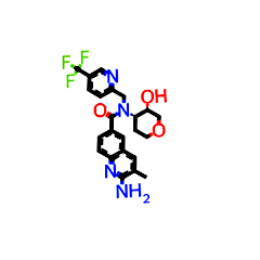 Cc1cc2cc(C(=O)N(Cc3ccc(C(F)(F)F)cn3)[C@H]3CCOC[C@@H]3O)ccc2nc1N